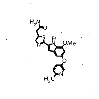 COc1cc(Oc2ccc(C)nc2)cc2cc(C3=NCC(CC(N)=O)S3)[nH]c12